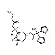 C[N+](C)(CC(=O)OCC(Cl)(Cl)Cl)[C@H]1C[C@H](OC(=O)C(O)(c2cccs2)c2cccs2)CC[C@H]2O[C@H]21